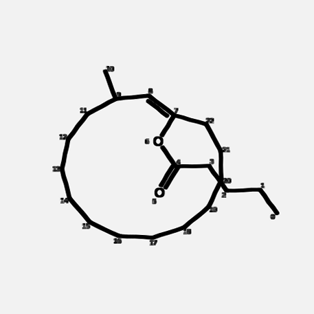 CCCCC(=O)O/C1=C\C(C)CCCCCCCCCCCC1